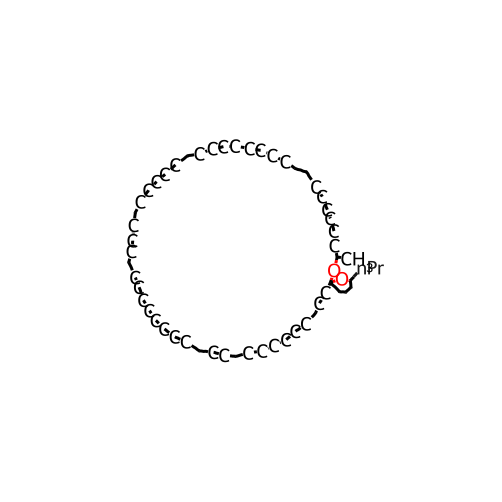 CCCC1CCCC2(CCCCCCCCCCCCCCCCCCCCCCCCCCCCCCCCCCCCCCCCCCCCCCCCC(C)O2)O1